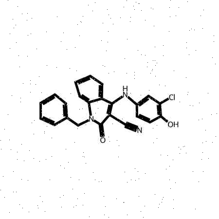 N#Cc1c(Nc2ccc(O)c(Cl)c2)c2ccccc2n(Cc2ccccc2)c1=O